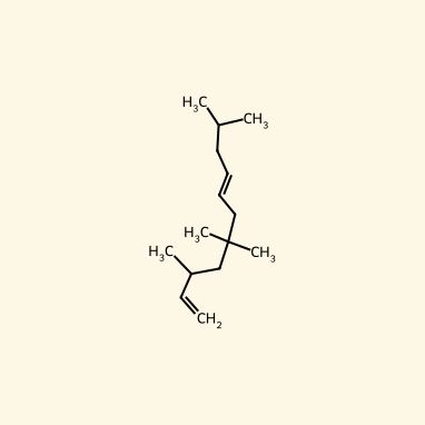 C=CC(C)CC(C)(C)CC=CCC(C)C